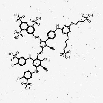 Cc1c(C#N)c(Nc2ccc(Cl)c(S(=O)(=O)O)c2)nc(Nc2ccc(Cl)c(S(=O)(=O)O)c2)c1N=Nc1sc(/N=N/c2cc(S(=O)(=O)O)c3cc(S(=O)(=O)O)cc(S(=O)(=O)O)c3c2)c(-c2ccc(Nc3nc(SCCCS(=O)(=O)O)nc(SCCCS(=O)(=O)O)n3)cc2)c1C#N